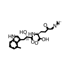 Cc1cccc2[nH]cc(C[C@H](O)C(=O)N[C@@H](CCC(=O)C=[N+]=[N-])C(=O)O)c12